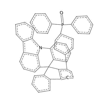 O=P(c1ccccc1)(c1ccccc1)c1ccc(-c2cccc3c2C2(c4ccccc4-3)c3ccccc3-n3c4ccccc4c4cccc2c43)cc1